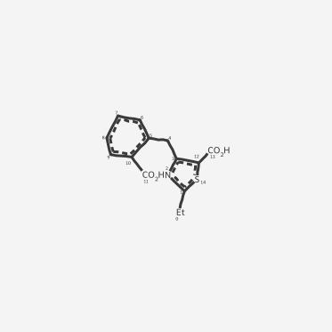 CCc1nc(Cc2ccccc2C(=O)O)c(C(=O)O)s1